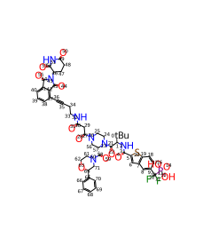 CC(C)(C)C(NC(=O)c1cc2cc(C(F)(F)P(=O)(O)O)ccc2s1)C(=O)N1CCN(C(=O)CC(=O)NCCC#Cc2cccc3c2C(=O)N(C2CCC(=O)NC2=O)C3=O)C[C@H]1C(=O)N1CCO[C@H](c2ccccc2)C1